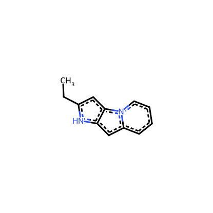 CCc1cc2c(cc3ccccn32)[nH]1